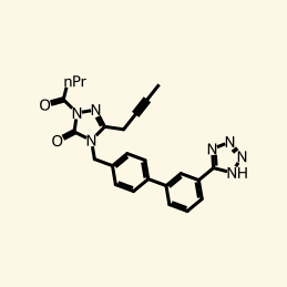 CC#CCc1nn(C(=O)CCC)c(=O)n1Cc1ccc(-c2cccc(-c3nnn[nH]3)c2)cc1